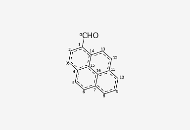 O=Cc1c[c]c2ccc3cccc4ccc1c2c34